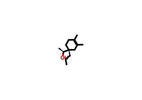 CCC[C@@]1([C@H](C)O)CCC(C)=C(C)C1